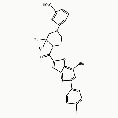 CC(C)(C)c1cc(-c2ccc(Cl)cc2)nc2cc(C(=O)N3CCN(c4cccc(C(=O)O)n4)CC3(C)C)oc12